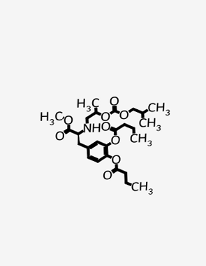 CCCC(=O)Oc1ccc(C[C@H](NCC(C)OC(=O)OCC(C)C)C(=O)OC)cc1OC(=O)CCC